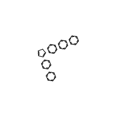 C1=CCC=C1.c1ccccc1.c1ccccc1.c1ccccc1.c1ccccc1.c1ccccc1